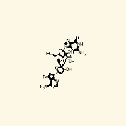 C#C[C@]1(COP(O)(=S)C2(O)[C@H](F)[C@@H](CO)O[C@H]2n2cnc3c(=O)[nH]c(N)nc32)O[C@@H](n2cc(F)c3c(N)ncnc32)C[C@@H]1O